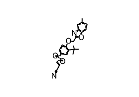 Cc1ccc2oc(COc3ccc(S(=O)(=O)C=CC#N)cc3C(C)(C)C)nc2c1